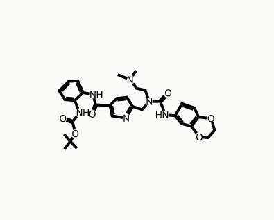 CN(C)CCN(Cc1ccc(C(=O)Nc2ccccc2NC(=O)OC(C)(C)C)cn1)C(=O)Nc1ccc2c(c1)OCCO2